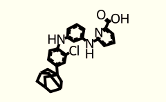 O=C(O)c1cccc(Nc2cccc(Nc3ccc(C45CC6CC(CC(C6)C4)C5)cc3Cl)c2)n1